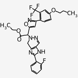 CCCOc1ccc(-c2cc(C(C(=O)OCC)N3Cc4nc(-c5ccccc5F)[nH]c4C=N3)on2)c(C(F)(F)F)c1